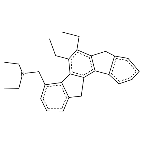 CCc1c2c(c3c(c1CC)-c1c(cccc1CN(CC)CC)C3)-c1ccccc1C2